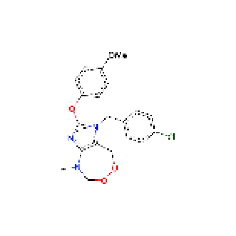 COc1ccc(Oc2nc3c(n2Cc2ccc(Cl)cc2)COOCN3C)cc1